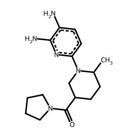 CC1CCC(C(=O)N2CCCC2)CN1c1ccc(N)c(N)n1